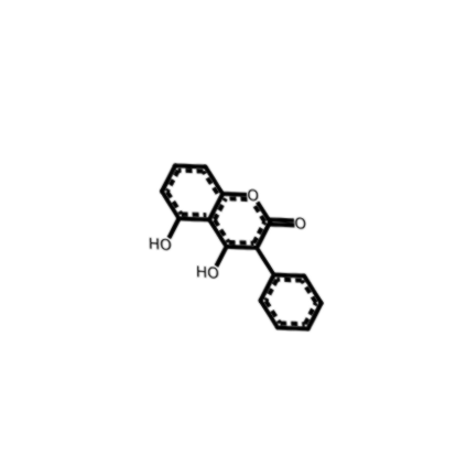 O=c1oc2cccc(O)c2c(O)c1-c1ccccc1